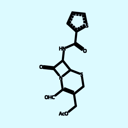 CC(=O)OCC1=C(C=O)N2C(=O)C(NC(=O)c3cccs3)C2SC1